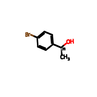 C[C@@H](O)c1ccc(Br)cc1